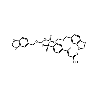 CC(=CC(=O)O)c1ccc(C(F)(F)P(=O)(OCOCc2ccc3c(c2)OCO3)OCOCc2ccc3c(c2)OCO3)cc1